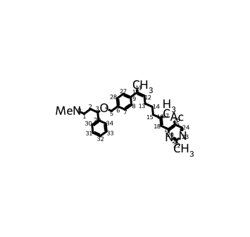 CNCCC(OCc1ccc(/C(C)=C\CCC/C(C)=C/c2nc(C)ncc2C(C)=O)cc1)c1ccccc1